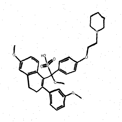 COc1cccc(C2=C(C(OC)(c3ccc(OCCN4CCCCC4)cc3)S(=O)(=O)O)c3ccc(OC)cc3CC2)c1